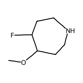 COC1CCNCCC1F